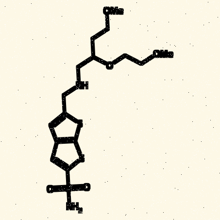 COCCOC(CCOC)CNCc1cc2cc(S(N)(=O)=O)sc2s1